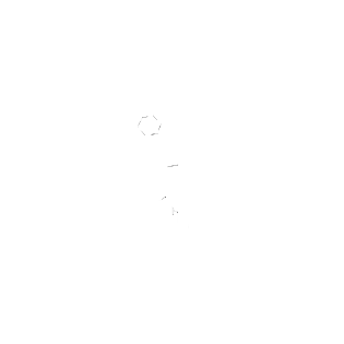 CN(C)C(=O)COC(=O)CCc1[c]cccc1